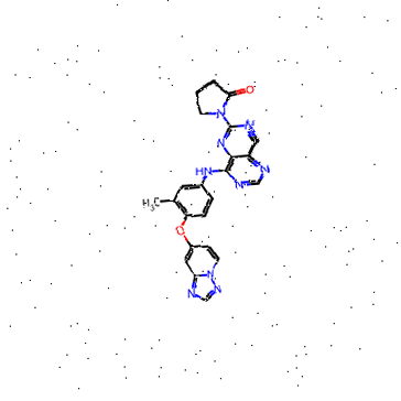 Cc1cc(Nc2ncnc3cnc(N4CCCC4=O)nc23)ccc1Oc1ccn2ncnc2c1